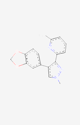 Cc1cccc(-c2nn(C)cc2-c2ccc3c(c2)OCO3)n1